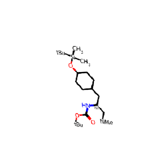 CNC[C@H](CC1CCC(O[Si](C)(C)C(C)(C)C)CC1)NC(=O)OC(C)(C)C